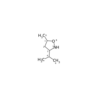 CC1CC(C(C)C)NO1